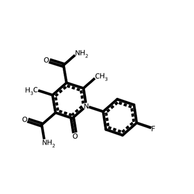 Cc1c(C(N)=O)c(C)n(-c2ccc(F)cc2)c(=O)c1C(N)=O